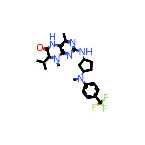 Cc1nc(N[C@@H]2CC[C@@H](N(C)c3ccc(C(F)(F)F)cc3)C2)nc2c1NC(=O)C(C(C)C)N2C